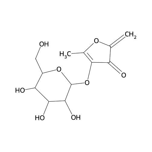 C=C1OC(C)=C(OC2OC(CO)C(O)C(O)C2O)C1=O